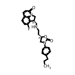 CCCc1ccc(N2C[C@@H](CCNC[C@@H]3Cn4c(=O)ccc5ccc(F)c3c54)OC2=O)cc1